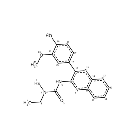 CCN(S)C(=O)Nc1nc2cccnc2nc1-c1ccc(O)c(OC)c1